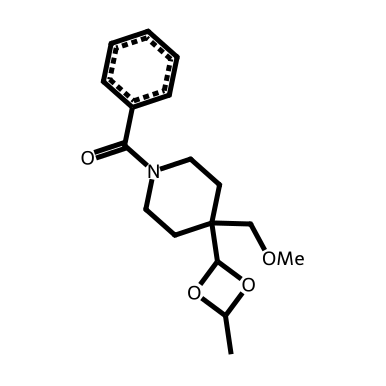 COCC1(C2OC(C)O2)CCN(C(=O)c2ccccc2)CC1